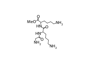 COC(=O)C(CCCCN)NC(=O)C(CCCCN)NC(=O)CN